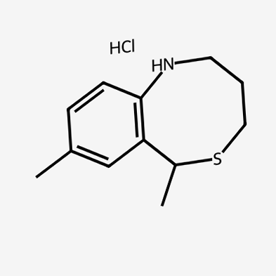 Cc1ccc2c(c1)C(C)SCCCN2.Cl